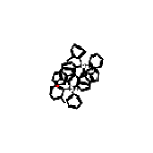 Cc1ccccc1[PH](c1ccccc1)(c1ccccc1C)c1ccc2ccccc2c1-c1c([PH](c2ccccc2)(c2ccccc2C)c2ccccc2C)ccc2ccccc12